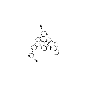 CC(=O)c1c(C(=O)Nc2c(-c3ccccc3)cccc2-c2ccccc2)cccc1-n1c2cc(-c3cncc(C#N)c3)ccc2c2ccc(-c3cncc(C#N)c3)cc21